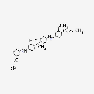 CCCCOc1ccc(/C=N/c2ccc(C(C)(C)c3ccc(/N=C/c4cccc(OCC5CO5)c4)cc3)cc2)cc1CC